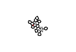 c1ccc(-c2nc(-c3ccccc3)nc(-c3cc(-c4ccccc4)c(-n4c5cc6ccccc6cc5c5c6ccccc6ccc54)c(-c4ccccc4)c3-c3ccccc3)n2)cc1